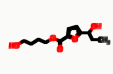 CCC(O)c1ccc(C(=O)OCCCCO)o1